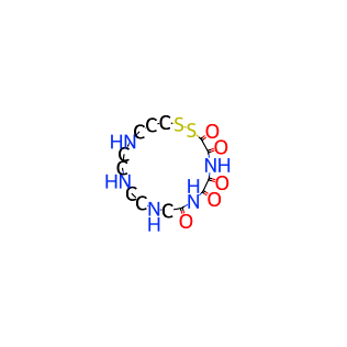 O=C1CNCCNCCNCCCSSC(=O)C(=O)NC(=O)C(=O)N1